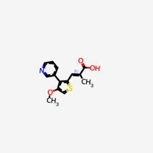 COc1csc(/C=C(\C)C(=O)O)c1-c1cccnc1